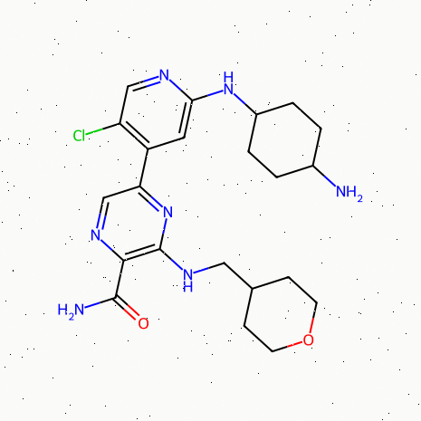 NC(=O)c1ncc(-c2cc(NC3CCC(N)CC3)ncc2Cl)nc1NCC1CCOCC1